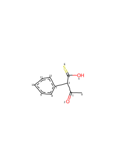 CC(=O)C(C(O)=S)c1ccccc1